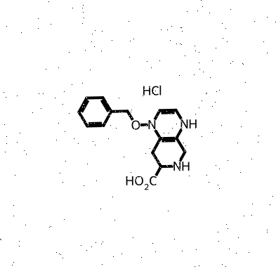 Cl.O=C(O)C1CC2=C(CN1)NC=CN2OCc1ccccc1